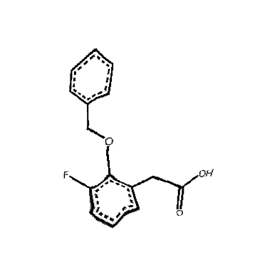 O=C(O)Cc1cccc(F)c1OCc1ccccc1